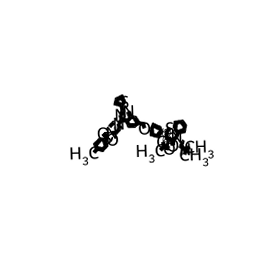 CC(=O)O[C@H]1C(=O)N(CCN(C)C)c2ccccc2S[C@H]1c1ccc(OCc2ccc3c(N4CCN(S(=O)(=O)c5ccc(C)cc5)CC4)nc(-c4cccs4)nc3c2)cc1